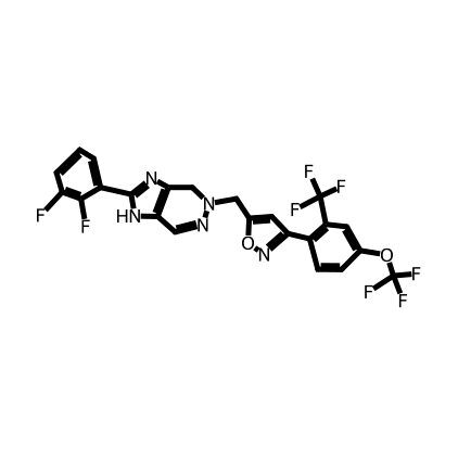 Fc1cccc(-c2nc3c([nH]2)C=NN(Cc2cc(-c4ccc(OC(F)(F)F)cc4C(F)(F)F)no2)C3)c1F